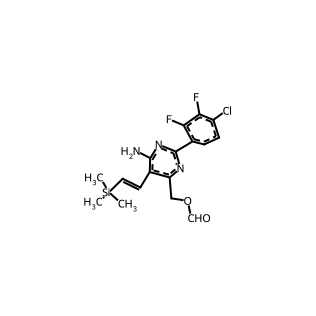 C[Si](C)(C)C=Cc1c(N)nc(-c2ccc(Cl)c(F)c2F)nc1COC=O